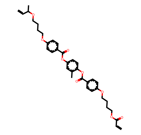 C=CC(=O)OCCCCOc1ccc(C(=O)Oc2ccc(OC(=O)c3ccc(OCCCCOC(C)C=C)cc3)cc2C)cc1